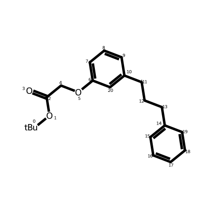 CC(C)(C)OC(=O)COc1cccc([CH]CCc2ccccc2)c1